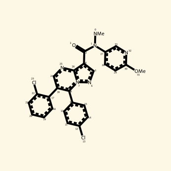 CNN(C(=O)c1cnn2c(-c3ccc(Cl)cc3)c(-c3ccccc3Cl)cnc12)c1ccc(OC)nc1